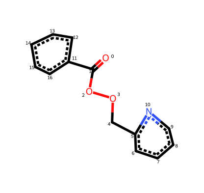 O=C(OOCc1ccccn1)c1ccccc1